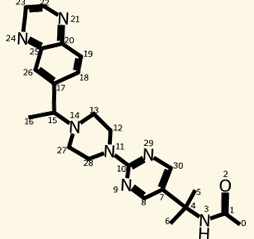 CC(=O)NC(C)(C)c1cnc(N2CCN(C(C)c3ccc4nccnc4c3)CC2)nc1